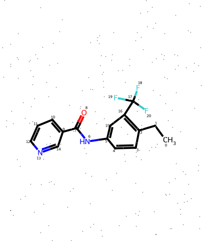 CCc1ccc(NC(=O)c2cccnc2)cc1C(F)(F)F